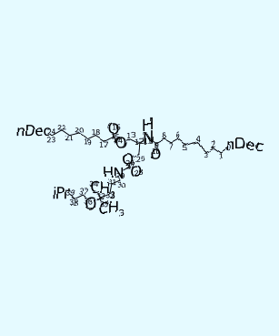 CCCCCCCCCCCCCCCCCCC(=O)NC(COC(=O)CCCCCCCCCCCCCCCCC)COC(=O)NCCCC(C)(C)OCCC(C)C